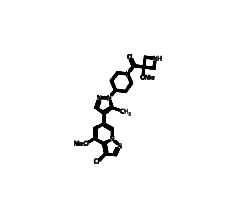 COc1cc(-c2cnn(C3CCN(C(=O)C4(OC)CNC4)CC3)c2C)cn2ncc(Cl)c12